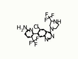 Nc1ccc(C(F)(F)F)c(-c2cc3ncnc(N4CCNC(C(F)(F)F)C4)c3cc2Cl)n1